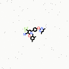 Cc1ccc(Cn2c(-c3ccc(Oc4nc(C)cc(C)n4)cc3)cc(C(F)(F)F)c(C#N)c2=O)c(C)c1